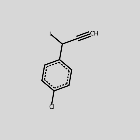 C#CC(I)c1ccc(Cl)cc1